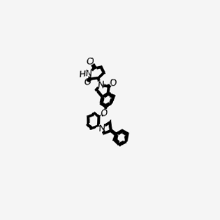 O=C1CCC(N2Cc3cc(O[C@H]4CCCC[C@H]4N4CC(c5ccccc5)C4)ccc3C2=O)C(=O)N1